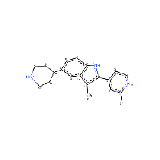 Cc1cc(-c2[nH]c3ccc(C4CCNCC4)cc3c2C(C)C)ccn1